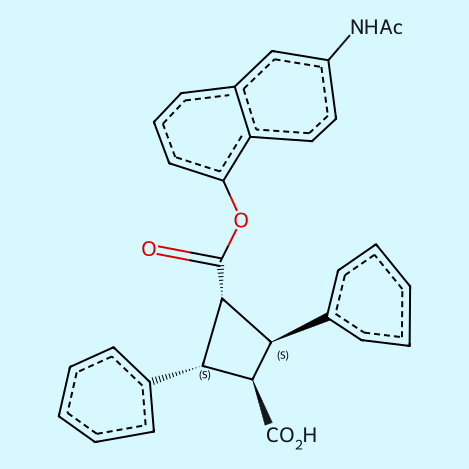 CC(=O)Nc1ccc2c(OC(=O)[C@H]3[C@@H](c4ccccc4)[C@H](C(=O)O)[C@@H]3c3ccccc3)cccc2c1